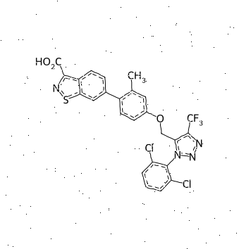 Cc1cc(OCc2c(C(F)(F)F)nnn2-c2c(Cl)cccc2Cl)ccc1-c1ccc2c(C(=O)O)nsc2c1